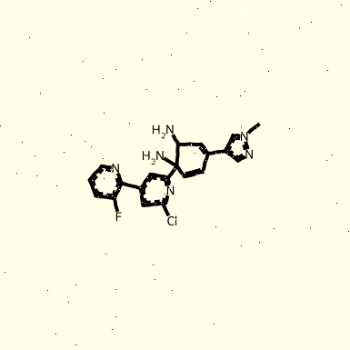 Cn1cc(C2=CC(N)C(N)(c3cc(-c4ncccc4F)cc(Cl)n3)C=C2)cn1